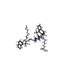 COCCOCC[N+]1=C(/C=C/C=C/C=C2/N(CCCCCC(=O)O)c3ccc4ccccc4c3C2(C)C)C(C)(C)c2c1ccc1ccccc21